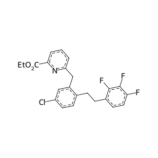 CCOC(=O)c1cccc(Cc2cc(Cl)ccc2CCc2ccc(F)c(F)c2F)n1